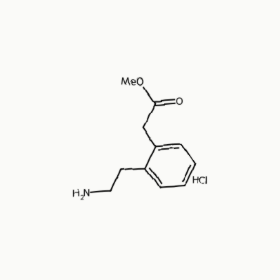 COC(=O)Cc1ccccc1CCN.Cl